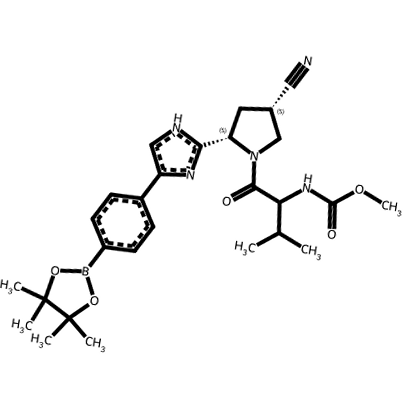 COC(=O)NC(C(=O)N1C[C@@H](C#N)C[C@H]1c1nc(-c2ccc(B3OC(C)(C)C(C)(C)O3)cc2)c[nH]1)C(C)C